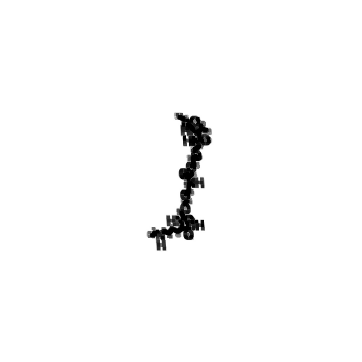 CCNCCCCC(NC(=O)COCCOCCNC(=O)COCCOCCNC(=O)C(NC(=O)OCC)C(C)C)C(=O)O